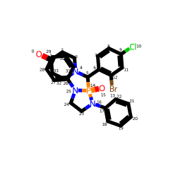 O=C1CCN(C(c2ccc(Cl)cc2Br)P2(=O)N(c3ccccc3)CCN2c2ccccc2)CC1